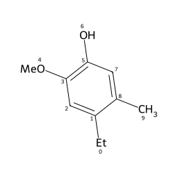 CCc1cc(OC)c(O)cc1C